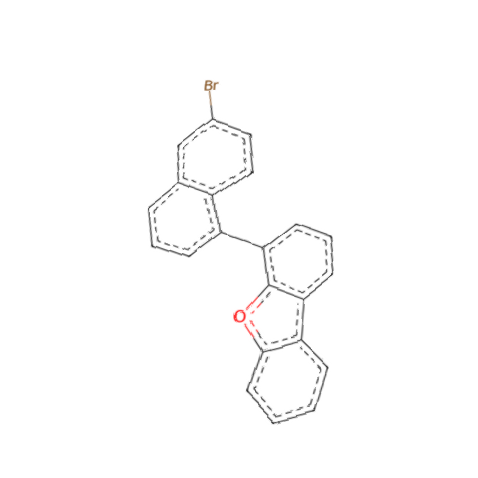 Brc1ccc2c(-c3cccc4c3oc3ccccc34)cccc2c1